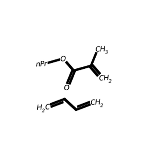 C=C(C)C(=O)OCCC.C=CC=C